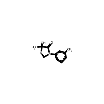 CC1(O)SCN(c2cccc(C(F)(F)F)c2)C1=O